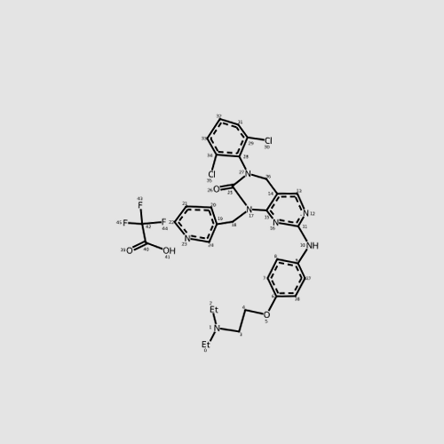 CCN(CC)CCOc1ccc(Nc2ncc3c(n2)N(Cc2cccnc2)C(=O)N(c2c(Cl)cccc2Cl)C3)cc1.O=C(O)C(F)(F)F